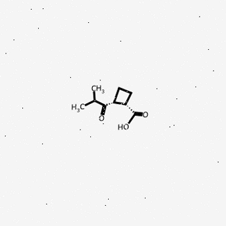 CC(C)C(=O)[C@@H]1CC[C@@H]1C(=O)O